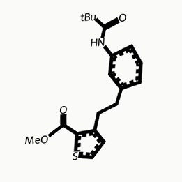 COC(=O)c1sccc1CCc1cccc(NC(=O)C(C)(C)C)c1